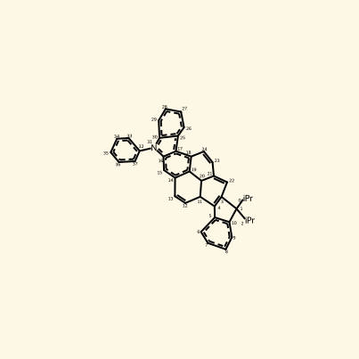 CC(C)C1(C(C)C)C2=C(c3ccccc31)C1C=Cc3cc4c(c5c3C1C(=C2)C=C5)c1ccccc1n4-c1ccccc1